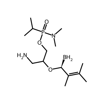 B[C@H](OC(CN)COP(=O)(C(C)C)N(C)C)C(C)=C(C)C